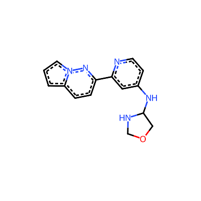 c1cc2ccc(-c3cc(NC4COCN4)ccn3)nn2c1